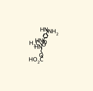 C[C@H](NC(=O)c1ccc(C(=N)N)cc1)C(=O)NCCCOCC(=O)O